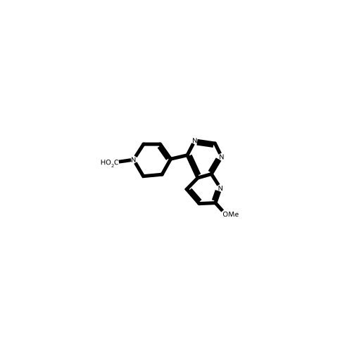 COc1ccc2c(C3=CCN(C(=O)O)CC3)ncnc2n1